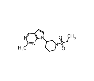 CCS(=O)(=O)N1CCCC(n2ccc3[c]nc(C)nc32)C1